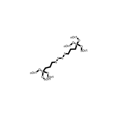 CCCCCCCCO[Si](CCCSSSSCCC[Si](OCCCCCCCC)(OCCCCCCCC)OCCCCCCCC)(OCCCCCCCC)OCCCCCCCC